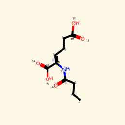 CCCC(=O)N/C(=C\CCC(=O)O)C(=O)O